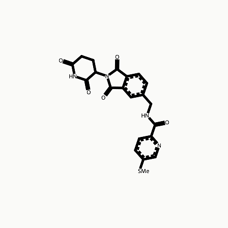 CSc1ccc(C(=O)NCc2ccc3c(c2)C(=O)N(C2CCC(=O)NC2=O)C3=O)nc1